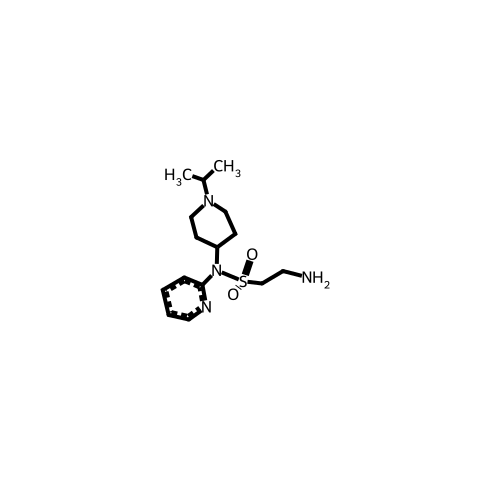 CC(C)N1CCC(N(c2ccccn2)S(=O)(=O)CCN)CC1